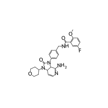 COc1ccc(F)cc1C(=O)NCc1ccc(N2C(=O)N(C3CCOCC3)C3C=CN=C(N)C32)cc1